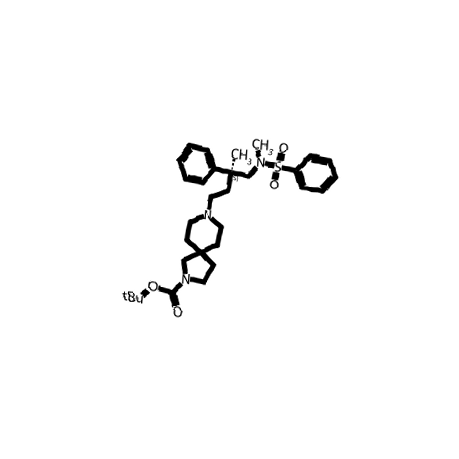 CN(C[C@@](C)(CCN1CCC2(CC1)CCN(C(=O)OC(C)(C)C)C2)c1ccccc1)S(=O)(=O)c1ccccc1